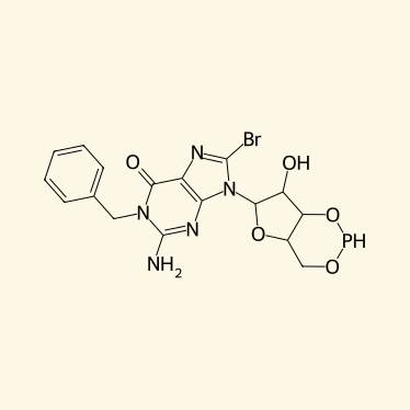 Nc1nc2c(nc(Br)n2C2OC3COPOC3C2O)c(=O)n1Cc1ccccc1